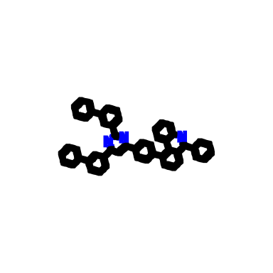 c1ccc(-c2cccc(-c3cc(-c4ccc(-c5cccc6c(-c7ccccc7)nc7ccccc7c56)cc4)nc(-c4cccc(-c5ccccc5)c4)n3)c2)cc1